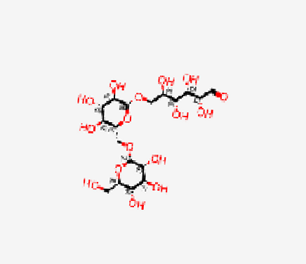 O=C[C@H](O)[C@@H](O)[C@H](O)[C@H](O)CO[C@@H]1O[C@H](CO[C@H]2O[C@H](CO)[C@@H](O)[C@H](O)[C@H]2O)[C@@H](O)[C@H](O)[C@H]1O